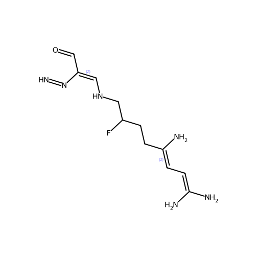 N=N/C(C=O)=C\NCC(F)CC/C(N)=C/C=C(N)N